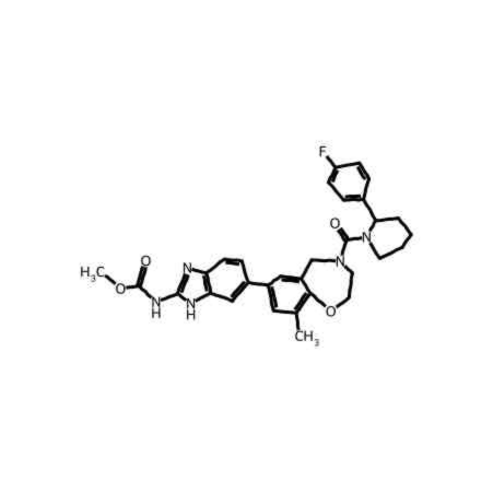 COC(=O)Nc1nc2ccc(-c3cc(C)c4c(c3)CN(C(=O)N3CCCCC3c3ccc(F)cc3)CCO4)cc2[nH]1